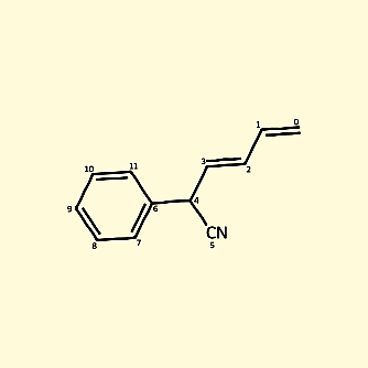 C=CC=CC(C#N)c1ccccc1